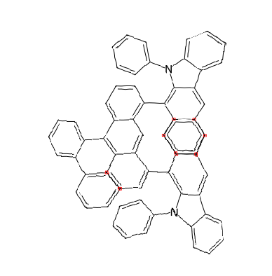 c1ccc(-c2ccccc2-c2c3cccc(-c4c5ccccc5cc5c6ccccc6n(-c6ccccc6)c45)c3cc3c(-c4c5ccccc5cc5c6ccccc6n(-c6ccccc6)c45)cccc23)cc1